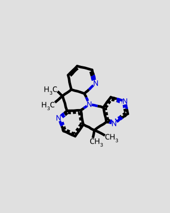 CC1(C)c2ccnc3c2N(c2cncnc21)C1N=CC=CC1C3(C)C